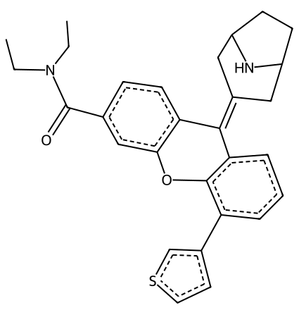 CCN(CC)C(=O)c1ccc2c(c1)Oc1c(cccc1-c1ccsc1)C2=C1CC2CCC(C1)N2